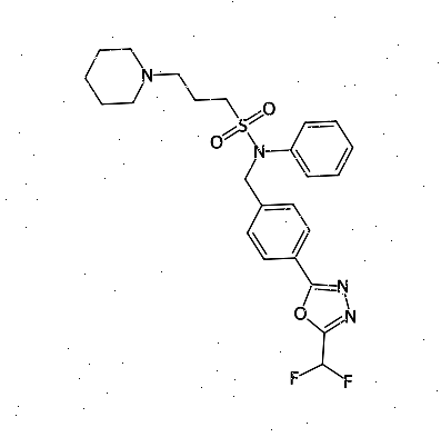 O=S(=O)(CCCN1CCCCC1)N(Cc1ccc(-c2nnc(C(F)F)o2)cc1)c1ccccc1